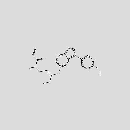 C=CC(=O)N(C)CCC(CC)Oc1cnc2[nH]cc(-c3cnc(OC)nc3)c2n1